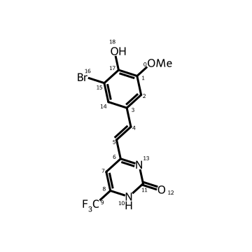 COc1cc(C=Cc2cc(C(F)(F)F)[nH]c(=O)n2)cc(Br)c1O